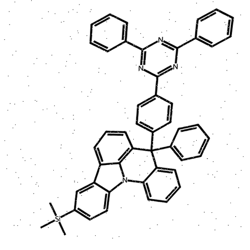 C[Si](C)(C)c1ccc2c(c1)c1cccc3c1n2-c1ccccc1C3(c1ccccc1)c1ccc(-c2nc(-c3ccccc3)nc(-c3ccccc3)n2)cc1